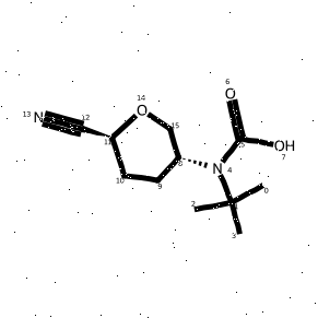 CC(C)(C)N(C(=O)O)[C@@H]1CC[C@@H](C#N)OC1